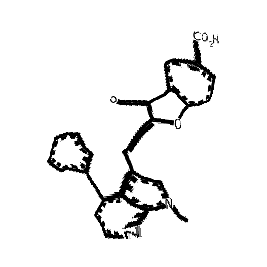 Cn1cc(C=C2Oc3ccc(C(=O)O)cc3C2=O)c2c(-c3ccccc3)ccnc21